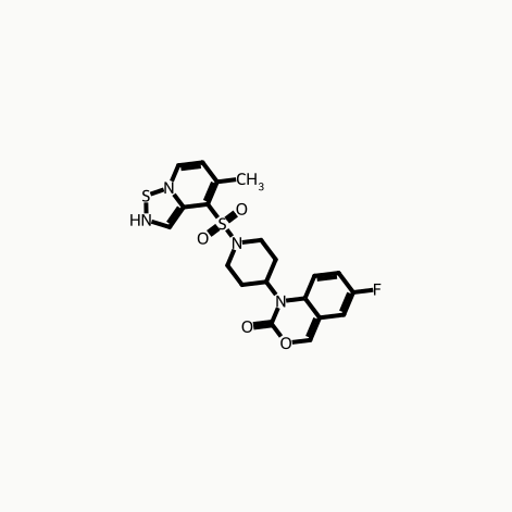 CC1=C(S(=O)(=O)N2CCC(N3C(=O)OC=C4C=C(F)C=CC43)CC2)C2=CNSN2C=C1